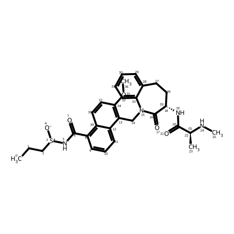 CCC[S+]([O-])NC(=O)c1cccc2c(CN3C(=O)[C@@H](NC(=O)[C@H](C)NC)CCc4ccccc43)c(OC)ccc12